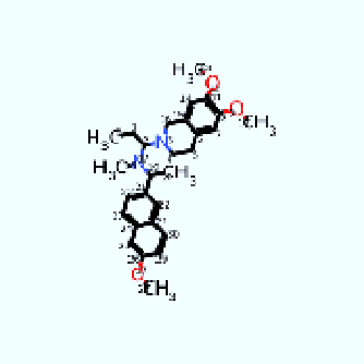 CCC(N1CCc2cc(OC)c(OC)cc2C1)N(C)C(C)c1ccc2cc(OC)ccc2c1